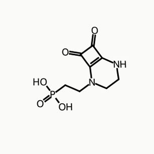 O=c1c2c(c1=O)N(CCP(=O)(O)O)CCN2